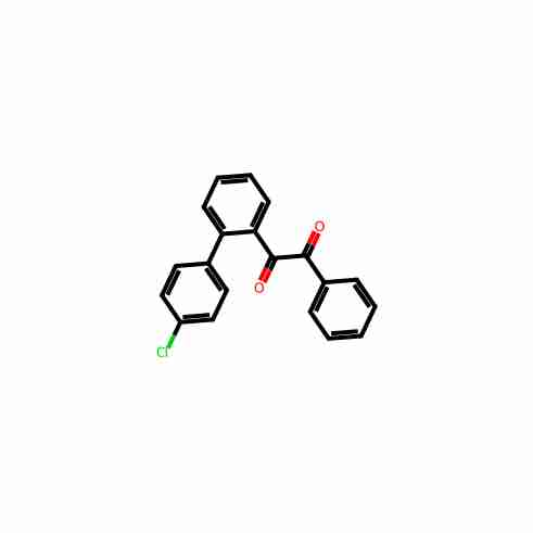 O=C(C(=O)c1ccccc1-c1ccc(Cl)cc1)c1ccccc1